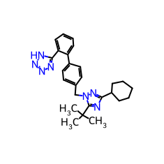 CC(C)(C)c1nc(C2CCCCC2)nn1Cc1ccc(-c2ccccc2-c2nnn[nH]2)cc1